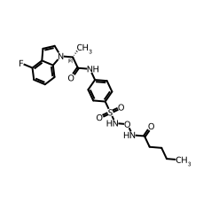 CCCCC(=O)NONS(=O)(=O)c1ccc(NC(=O)[C@@H](C)n2ccc3c(F)cccc32)cc1